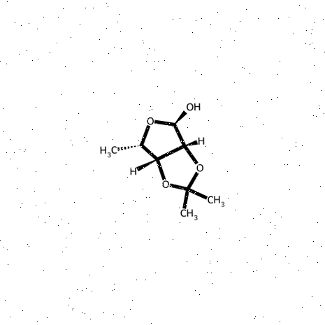 C[C@@H]1O[C@@H](O)[C@@H]2OC(C)(C)O[C@@H]21